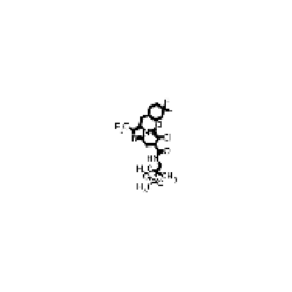 CC(C)(CNC(=O)c1cc2nc(C(F)(F)F)c(CC3CCC(F)(F)CC3)n2c(Cl)c1Cl)S(C)(=O)=O